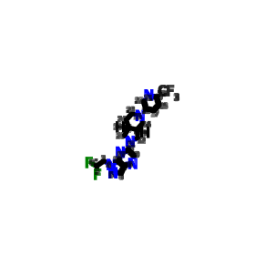 FC(F)Cn1ncc2ncc(N3C[C@H]4CN(c5ccc(C(F)(F)F)nc5)CC[C@H]4C3)nc21